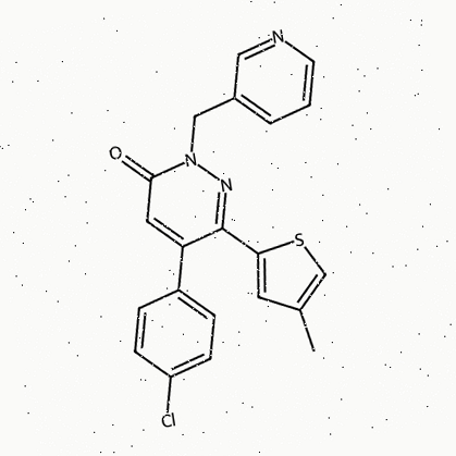 Cc1csc(-c2nn(Cc3cccnc3)c(=O)cc2-c2ccc(Cl)cc2)c1